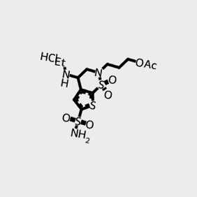 CCNC1CN(CCCOC(C)=O)S(=O)(=O)c2sc(S(N)(=O)=O)cc21.Cl